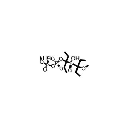 CCC(CC)(OC)P(=O)(O)C(CC)(CC)OP(=O)(O)OP(=O)(O)OC